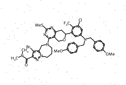 COc1ccc(CN(Cc2ccc(OC)cc2)c2cc(Cl)c(C(F)(F)F)c(C3Cc4nc(SC)nc(N5CCCn6nc(C(=O)N(C)C)c(Br)c6C5)c4CO3)c2)cc1